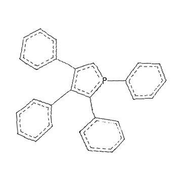 c1ccc(-c2cp(-c3ccccc3)c(-c3ccccc3)c2-c2ccccc2)cc1